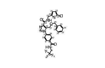 O=C(NCC(F)(F)F)c1ccc(-n2nnc(C(=O)NCc3ccc(Cl)s3)c2COCc2ccccc2)cc1